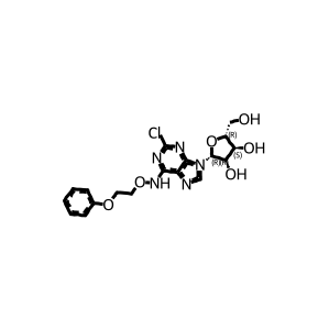 OC[C@H]1O[C@@H](n2cnc3c(NOCCOc4ccccc4)nc(Cl)nc32)[C@H](O)[C@@H]1O